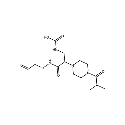 C=CCONC(=O)C(CNC(=O)O)N1CCN(C(=O)C(C)C)CC1